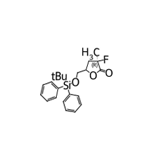 CC(C)(C)[Si](OCC1C[C@@](C)(F)C(=O)O1)(c1ccccc1)c1ccccc1